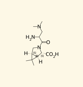 CN(C)CC(N)C(=O)N1C[C@H]2[C@@H]([C@H]1C(=O)O)C2(C)C